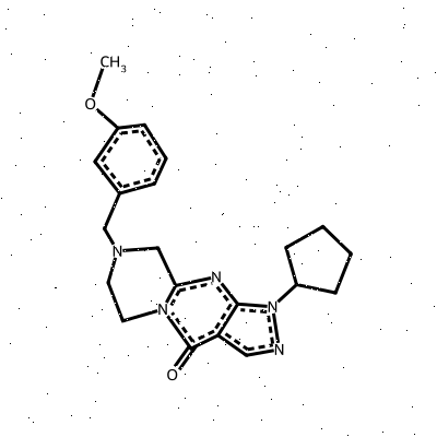 COc1cccc(CN2CCn3c(nc4c(cnn4C4CCCC4)c3=O)C2)c1